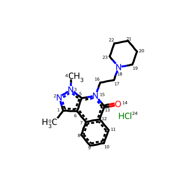 Cc1nn(C)c2c1c1ccccc1c(=O)n2CCN1CCCCC1.Cl